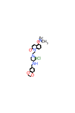 CC(=O)N(C)Oc1cccc2c1ccc(=O)n2CCN1CCC(NCc2ccc3c(c2)OCCO3)CC1.Cl